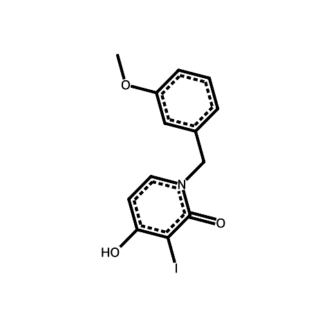 COc1cccc(Cn2ccc(O)c(I)c2=O)c1